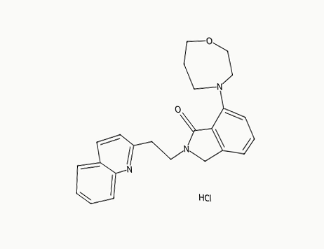 Cl.O=C1c2c(cccc2N2CCCOCC2)CN1CCc1ccc2ccccc2n1